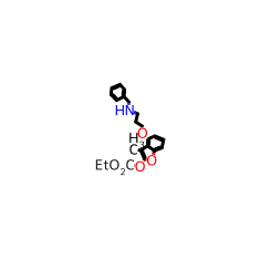 CCOC(=O)Oc1oc2cccc(OCCCNCc3ccccc3)c2c1C